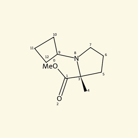 COC(=O)[C@@]1(C)CCCN1C1CCC1